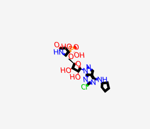 O=C1CC(OC[C@H]2O[C@@H](n3ncc4c(NC5CCCC5)nc(Cl)nc43)[C@H](O)[C@@H]2O)(P(=O)(O)O)CN1